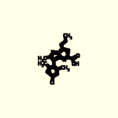 CCCc1cc(C(=O)O)nc2c(-c3c(C)cc(Cl)cc3C)c(C)nn12